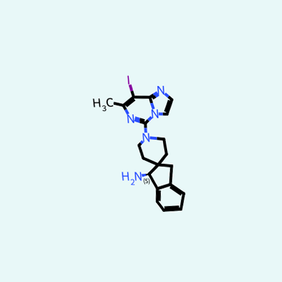 Cc1nc(N2CCC3(CC2)Cc2ccccc2[C@H]3N)n2ccnc2c1I